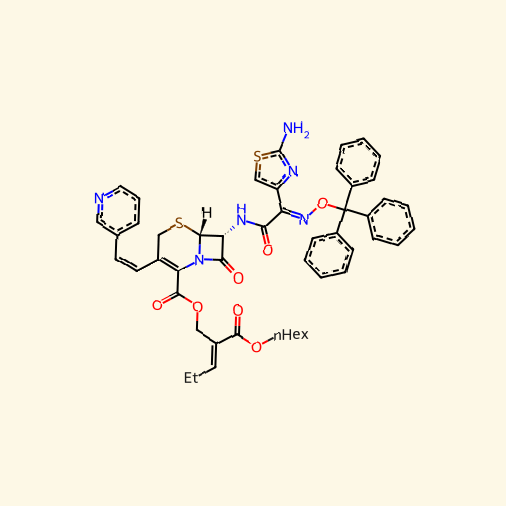 CC/C=C(\COC(=O)C1=C(/C=C\c2cccnc2)CS[C@@H]2[C@H](NC(=O)/C(=N/OC(c3ccccc3)(c3ccccc3)c3ccccc3)c3csc(N)n3)C(=O)N12)C(=O)OCCCCCC